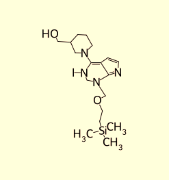 C[Si](C)(C)CCOCN1CN(I)C(N2CCCC(CO)C2)=C2C=CN=C21